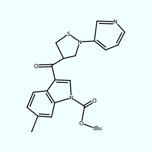 Cc1ccc2c(C(=O)C3CSN(c4cccnc4)C3)cn(C(=O)OC(C)(C)C)c2c1